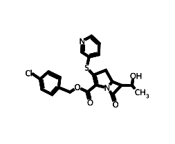 CC(O)C1C(=O)N2C(C(=O)OCc3ccc(Cl)cc3)=C(Sc3cccnc3)CC12